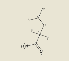 C[C](C)CC(C)(C)C(N)=O